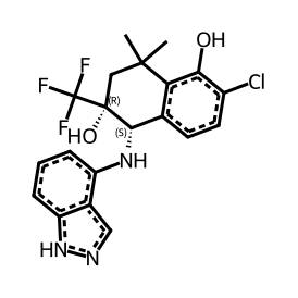 CC1(C)C[C@](O)(C(F)(F)F)[C@@H](Nc2cccc3[nH]ncc23)c2ccc(Cl)c(O)c21